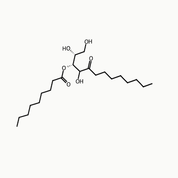 CCCCCCCCC(=O)O[C@@H](C(O)C(=O)CCCCCCCC)[C@H](O)CO